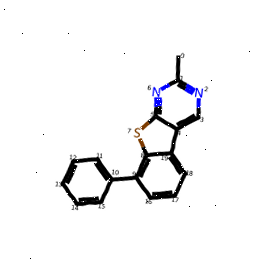 Cc1ncc2c(n1)sc1c(-c3ccccc3)cccc12